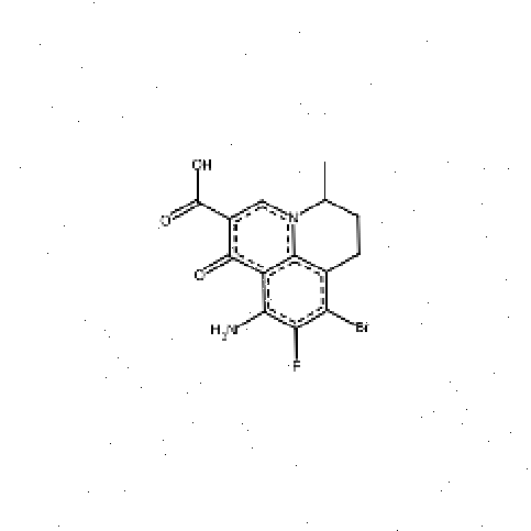 CC1CCc2c(Br)c(F)c(N)c3c(=O)c(C(=O)O)cn1c23